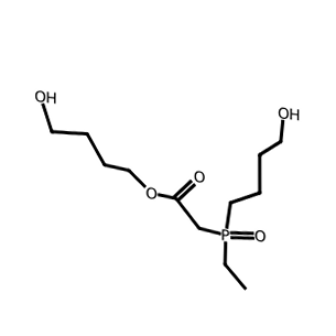 CCP(=O)(CCCCO)CC(=O)OCCCCO